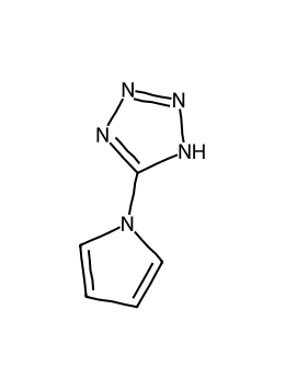 c1ccn(-c2nnn[nH]2)c1